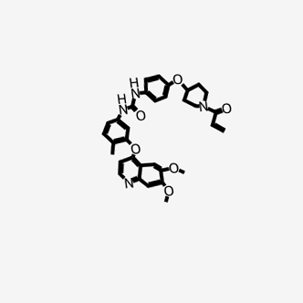 C=CC(=O)N1CCC(Oc2ccc(NC(=O)Nc3ccc(C)c(Oc4ccnc5cc(OC)c(OC)cc45)c3)cc2)CC1